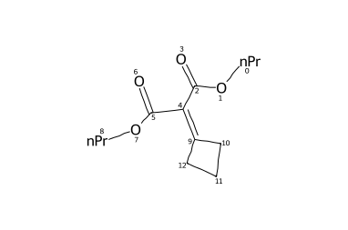 CCCOC(=O)C(C(=O)OCCC)=C1CCC1